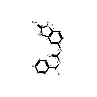 C[C@@H](NC(=O)Nc1ccc2[nH]c(=O)[nH]c2c1)c1ccccc1